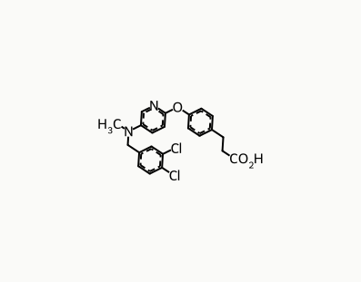 CN(Cc1ccc(Cl)c(Cl)c1)c1ccc(Oc2ccc(CCC(=O)O)cc2)nc1